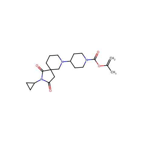 C=C(C)OC(=O)N1CCC(N2CCCC3(CC(=O)N(C4CC4)C3=O)C2)CC1